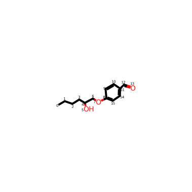 CCCCC(O)COc1ccc(C=O)cc1